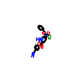 N#Cc1ccc(OC(=O)[C@@H]2CC[C@@H](N(OCc3ccccc3)C(=O)Cl)CN2)cc1